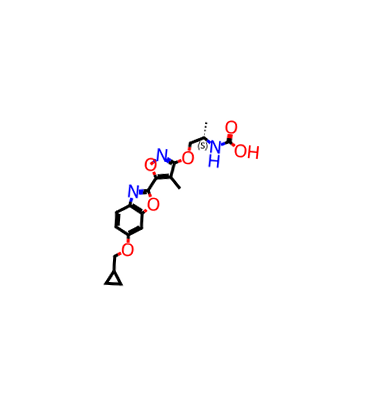 Cc1c(OC[C@H](C)NC(=O)O)noc1-c1nc2ccc(OCC3CC3)cc2o1